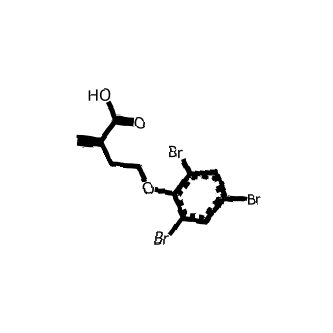 C=C(CCOc1c(Br)cc(Br)cc1Br)C(=O)O